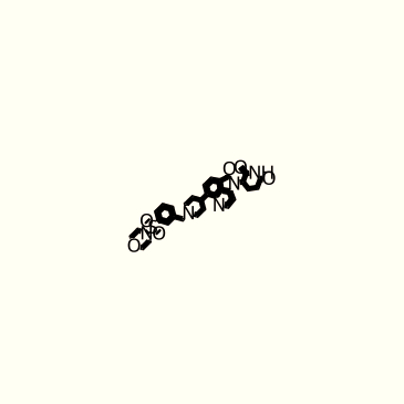 O=C1CCC(N2C(=O)c3ccc(C4CCN(Cc5cccc(S(=O)(=O)N6CCOCC6)c5)CC4)c4nccc2c34)C(=O)N1